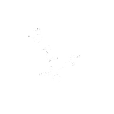 CCC(CC=Cc1ccccc1[C@@H](C)OC[C@H](O)CN1CC[C@H]1Cc1ccc(C)c(F)c1)C(=O)O